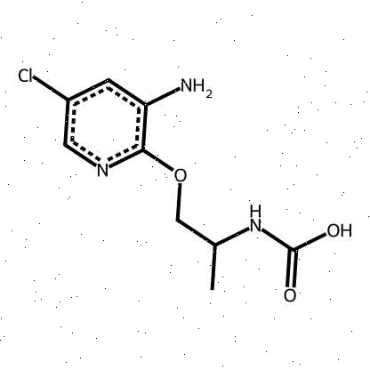 CC(COc1ncc(Cl)cc1N)NC(=O)O